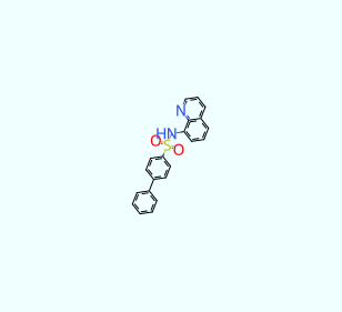 O=S(=O)(Nc1cccc2cccnc12)c1ccc(-c2ccccc2)cc1